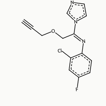 C#CCOCC(=Nc1ccc(F)cc1Cl)n1ccnc1